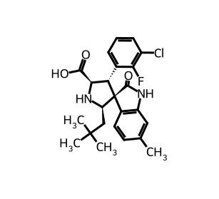 Cc1ccc2c(c1)NC(=O)[C@]21[C@@H](CC(C)(C)C)N[C@@H](C(=O)O)[C@@H]1c1cccc(Cl)c1F